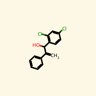 C=C(c1ccccc1)C(O)c1ccc(Cl)cc1Cl